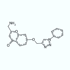 NCc1cc(=O)c2ccc(OCc3cn(-c4ccccc4)nn3)cc2o1